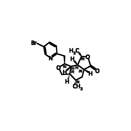 C[C@H]1C[C@H]2C(=O)O[C@H](C)[C@H]2[C@@H]2[C@@H]1CO[C@H]2Cc1ccc(Br)cn1